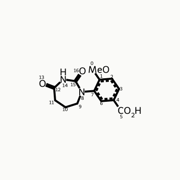 COc1ccc(C(=O)O)cc1N1CCCC(=O)NC1=O